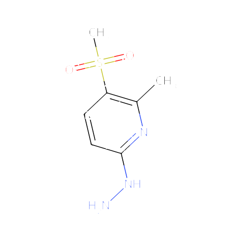 Cc1nc(NN)ccc1S(C)(=O)=O